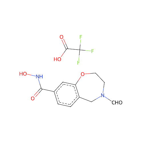 O=C(O)C(F)(F)F.O=CN1CCOc2cc(C(=O)NO)ccc2C1